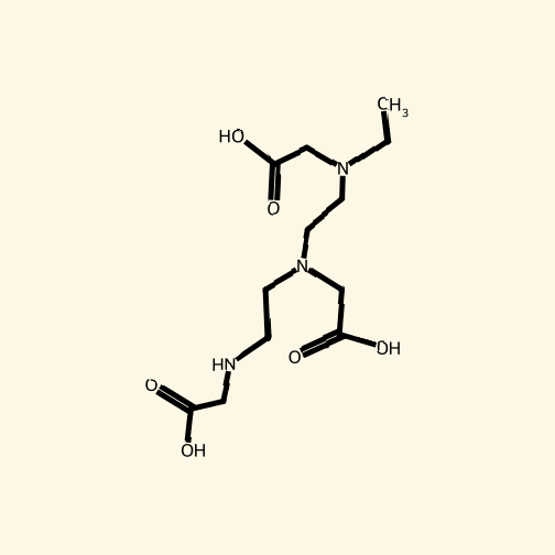 CCN(CCN(CCNCC(=O)O)CC(=O)O)CC(=O)O